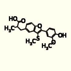 COc1cc(-c2oc3ccc(CC(C)C(=O)O)cc3c2SC)ccc1O